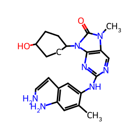 Cc1cc(N)c(/C=C\N)cc1Nc1ncc2c(n1)n(C1CCC(O)CC1)c(=O)n2C